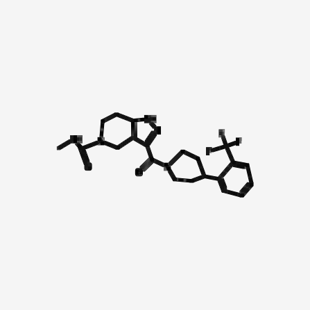 CNC(=O)N1CCc2[nH]nc(C(=O)N3CCC(c4ccccc4C(F)(F)F)CC3)c2C1